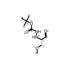 COC[C@@H](C=O)NNC(=O)OC(C)(C)C